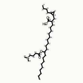 CCCCCCCCCC(CCCCCCCCCC(CC1CC1CCCC)C(=O)O)OC(=O)CCCN(C)C